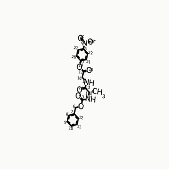 C[C@H](NC(=O)OCc1ccccc1)C(=O)NCC(=O)Oc1ccc([N+](=O)[O-])cc1